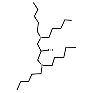 CCCCCP(CCCCC)CC(O)CP(CCCCC)CCCCC